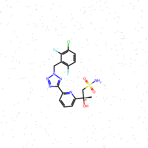 C[C@](O)(CS(N)(=O)=O)c1cccc(-c2nnn(Cc3c(F)ccc(Cl)c3F)n2)n1